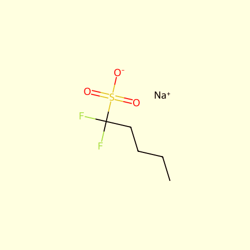 CCCCC(F)(F)S(=O)(=O)[O-].[Na+]